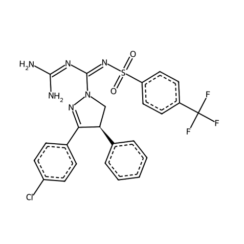 NC(N)=N/C(=N/S(=O)(=O)c1ccc(C(F)(F)F)cc1)N1C[C@@H](c2ccccc2)C(c2ccc(Cl)cc2)=N1